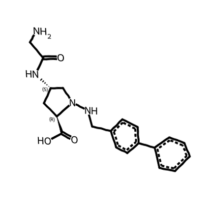 NCC(=O)N[C@H]1C[C@H](C(=O)O)N(NCc2ccc(-c3ccccc3)cc2)C1